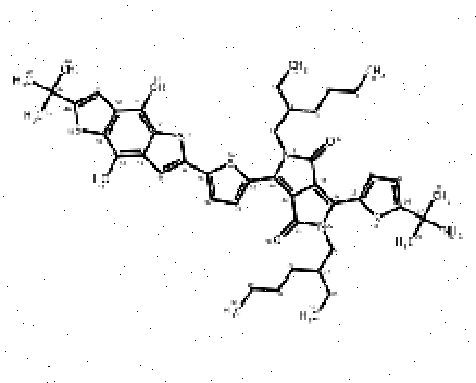 CCCCC(CC)CN1C(=O)C2=C(c3ccc(C(C)(C)N)s3)N(CC(CC)CCCC)C(=O)C2=C1c1ccc(-c2cc3c(O)c4sc(C(C)(C)C)cc4c(O)c3s2)s1